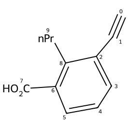 C#Cc1cccc(C(=O)O)c1CCC